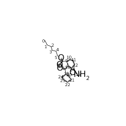 CCCCCCOC(=O)c1cccc(ON)c1C(=O)c1ccccc1